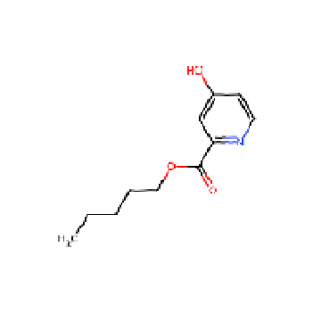 CCCCCOC(=O)c1cc(O)ccn1